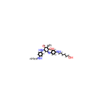 CCCCCCNc1ccc(NC2=C/C(=N/c3ccc(NCCCCCCO)cc3)C(O)=C(CCC)C2=O)cc1